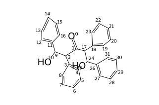 O=C(C(c1ccccc1)C(O)c1ccccc1)C(c1ccccc1)C(O)c1ccccc1